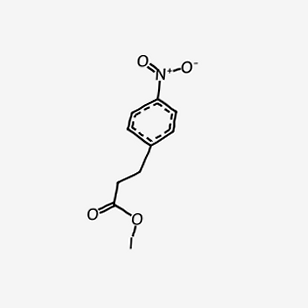 O=C(CCc1ccc([N+](=O)[O-])cc1)OI